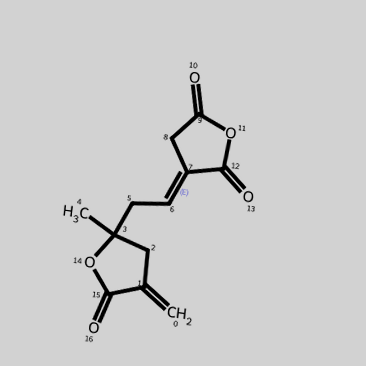 C=C1CC(C)(C/C=C2\CC(=O)OC2=O)OC1=O